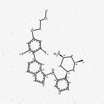 COCCOc1cc(F)c(-c2ccc3cnc(Nc4cnccc4[C@@H]4C[C@H](C)C[C@H](N)C4)n3n2)c(F)c1